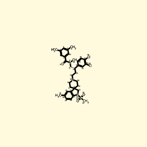 Cc1cc(C)cc(C(=O)N(C)C[C@@H](CCN2CCC3(CC2)CN(S(C)(=O)=O)c2ccc(C)cc23)c2ccc(Cl)c(Cl)c2)c1